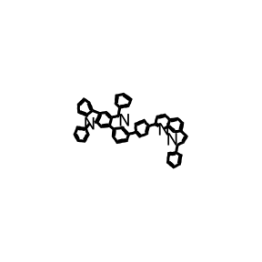 c1ccc(-c2ccc3ccc4ccc(-c5ccc(-c6cccc7c6nc(-c6ccccc6)c6cc8c9ccccc9n(-c9ccccc9)c8cc67)cc5)nc4c3n2)cc1